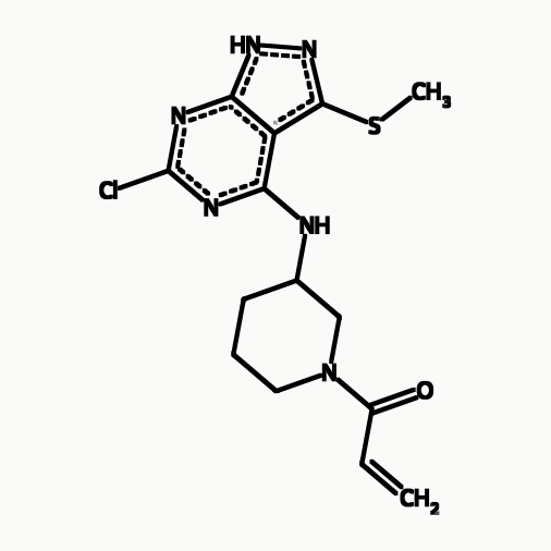 C=CC(=O)N1CCCC(Nc2nc(Cl)nc3[nH]nc(SC)c23)C1